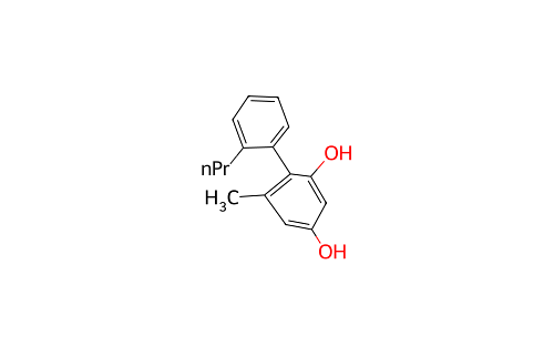 CCCc1ccccc1-c1c(C)cc(O)cc1O